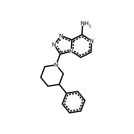 Nc1nccn2c(N3CCCC(c4ccccc4)C3)nnc12